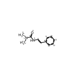 CN(C)C(=O)N/C=C/c1ccccc1